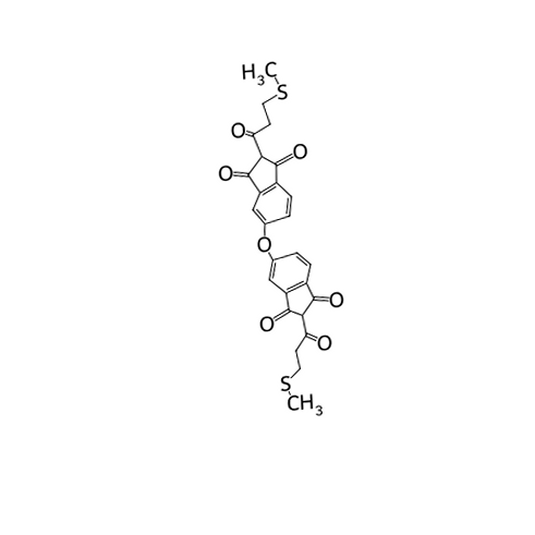 CSCCC(=O)C1C(=O)c2ccc(Oc3ccc4c(c3)C(=O)C(C(=O)CCSC)C4=O)cc2C1=O